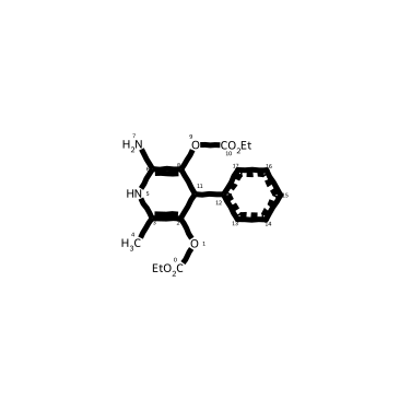 CCOC(=O)OC1=C(C)NC(N)=C(OC(=O)OCC)C1c1ccccc1